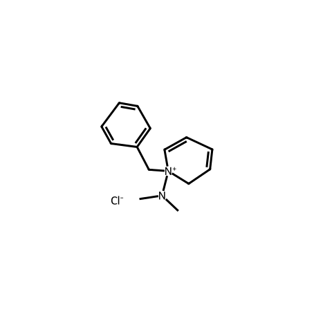 CN(C)[N+]1(Cc2ccccc2)C=CC=CC1.[Cl-]